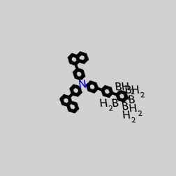 Bc1c(B)c(B)c(-c2ccc(-c3ccc(N(c4ccc(-c5cccc6ccccc56)cc4)c4ccc(-c5cccc6ccccc56)cc4)cc3)cc2)c(B)c1B